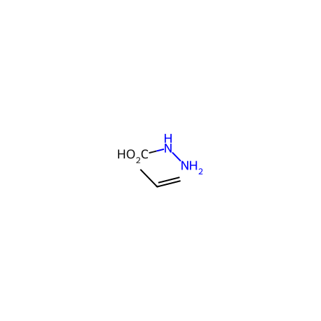 C=CC.NNC(=O)O